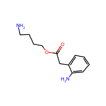 NCCCCOC(=O)Cc1ccccc1N